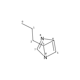 CCCC1c2cn1cn2